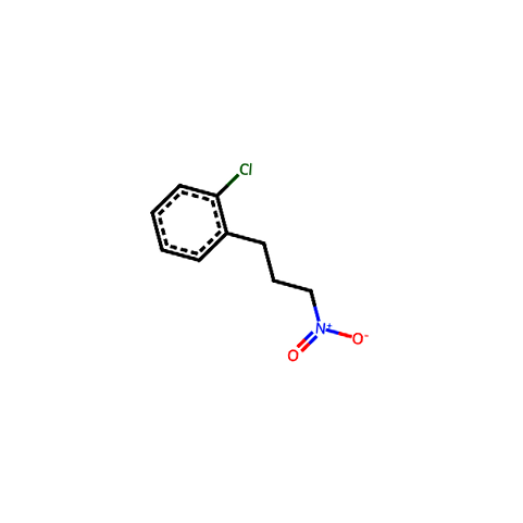 O=[N+]([O-])CCCc1ccccc1Cl